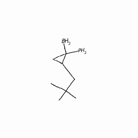 BC1(P)CC1CC(C)(C)C